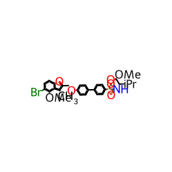 COC(=O)C(NS(=O)(=O)c1ccc(-c2ccc(OCc3oc4ccc(Br)c(OC)c4c3C)cc2)cc1)C(C)C